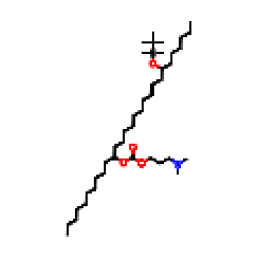 CCCCCCCCCCC(CCCCCCCC=CCC(CCCCCC)O[Si](C)(C)C(C)(C)C)OC(=O)OCCCN(C)C